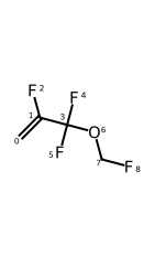 C=C(F)C(F)(F)OCF